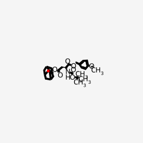 COc1ccc(COC(=O)[C@H](CC(=O)OC23CC4CC(CC(C4)C2)C3)NC(=O)OC(C)(C)C)cc1